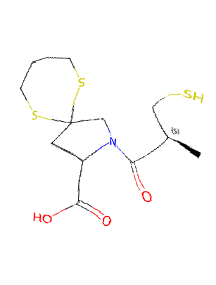 C[C@H](CS)C(=O)N1CC2(CC1C(=O)O)SCCCS2